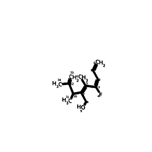 C=C/C=C(F)\C(C)=C(/CO)C(C)C(=C)C